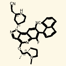 Cc1cc2c(nc(O[C@@H](C)[C@@H]3CCCN3C)c3cnn([C@H]4CCN[C@H](CC#N)C4)c32)c(F)c1-c1cccc2cccc(C#N)c12